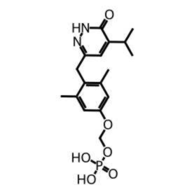 Cc1cc(OCOP(=O)(O)O)cc(C)c1Cc1cc(C(C)C)c(=O)[nH]n1